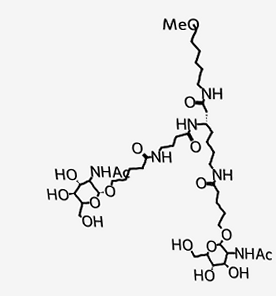 COCCCCCCNC(=O)C[C@H](CCCCNC(=O)CCCCO[C@@H]1OC(CO)[C@@H](O)[C@H](O)C1NC(C)=O)NC(=O)CCCNC(=O)CCCCO[C@@H]1OC(CO)[C@@H](O)[C@H](O)C1NC(C)=O